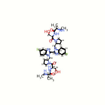 CN[C@H](C)C(=O)N[C@H](CO)C(=O)N1CCC[C@H]1Cn1c(-c2nc3cc(F)ccc3n2C[C@@H]2CCCN2C(=O)[C@@H](CO)NC(=O)[C@@H](C)NC)nc2cc(F)ccc21